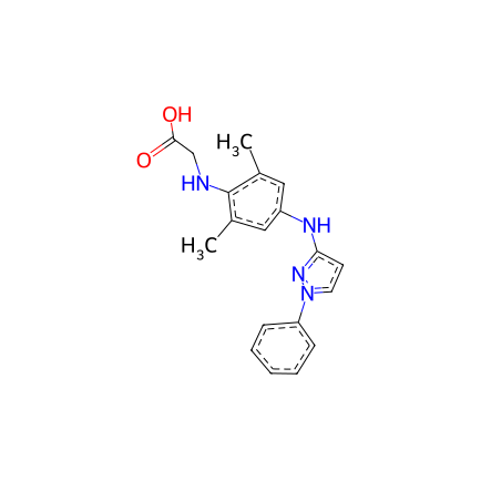 Cc1cc(Nc2ccn(-c3ccccc3)n2)cc(C)c1NCC(=O)O